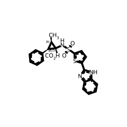 C[C@@H]1[C@H](c2ccccc2)[C@]1(NS(=O)(=O)c1ccc(-c2nc3ccccc3[nH]2)s1)C(=O)O